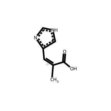 C/C(=C/c1c[nH]cn1)C(=O)O